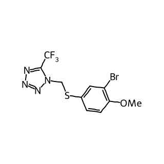 COc1ccc(SCn2nnnc2C(F)(F)F)cc1Br